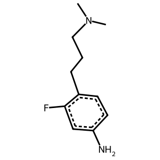 CN(C)CCCc1ccc(N)cc1F